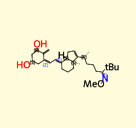 C=C1/C(=C\C=C2/CCC[C@]3(C)C([C@H](C)CCC/C(=N\OC)C(C)(C)C)=CC[C@@H]23)C[C@H](O)C[C@H]1O